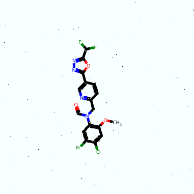 COc1cc(Cl)c(Br)cc1N(C=O)Cc1ccc(-c2nnc(C(F)F)o2)cn1